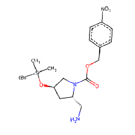 CC(C)(C)[Si](C)(C)O[C@@H]1C[C@@H](CN)N(C(=O)OCc2ccc([N+](=O)[O-])cc2)C1